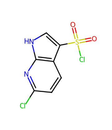 O=S(=O)(Cl)c1c[nH]c2nc(Cl)ccc12